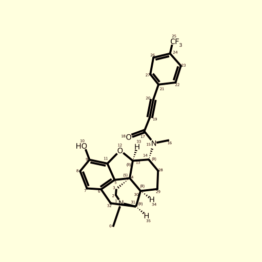 CN1CC[C@]23c4c5ccc(O)c4O[C@H]2[C@H](N(C)C(=O)C#Cc2ccc(C(F)(F)F)cc2)CC[C@H]3[C@H]1C5